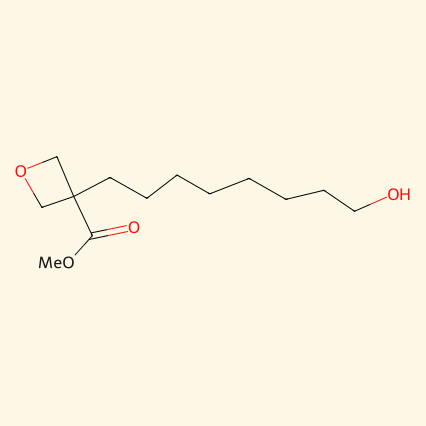 COC(=O)C1(CCCCCCCCO)COC1